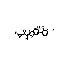 Cc1cccc(-c2ccc3nc(NC(=O)C4CC4F)sc3c2)c1C